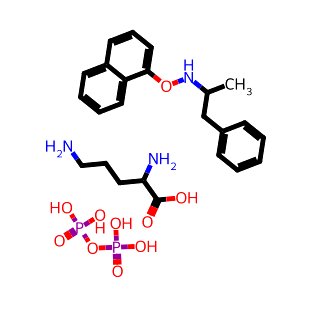 CC(Cc1ccccc1)NOc1cccc2ccccc12.NCCCC(N)C(=O)O.O=P(O)(O)OP(=O)(O)O